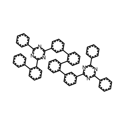 c1ccc(-c2nc(-c3ccccc3)nc(-c3cccc(-c4ccccc4-c4ccccc4-c4cccc(-c5nc(-c6ccccc6)nc(-c6ccccc6-c6ccccc6)n5)c4)c3)n2)cc1